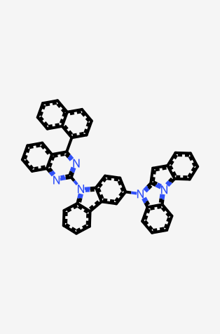 c1ccc2c(-c3nc(-n4c5ccccc5c5cc(-n6c7ccccc7n7c8ccccc8cc67)ccc54)nc4ccccc34)cccc2c1